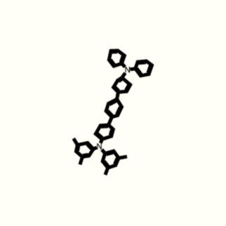 Cc1cc(C)cc(N(c2ccc(-c3ccc(-c4ccc(N(c5ccccc5)c5ccccc5)cc4)cc3)cc2)c2cc(C)cc(C)c2)c1